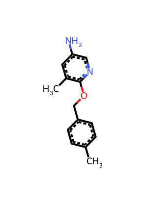 Cc1ccc(COc2ncc(N)cc2C)cc1